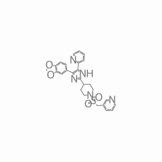 O=S(=O)(Cc1cccnc1)N1CCC(c2nc(-c3ccc4c(c3)OCO4)c(-c3ccccn3)[nH]2)CC1